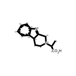 CC(C(=O)O)N1CCC2C(=Nc3ccccc32)C1